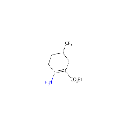 CCOC(=O)C1=C(N)CCC(C(F)(F)F)C1